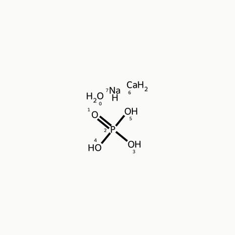 O.O=P(O)(O)O.[CaH2].[NaH]